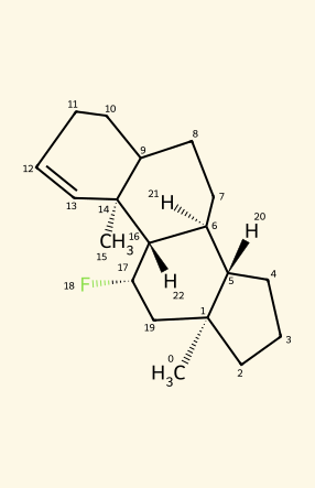 C[C@@]12CCC[C@H]1[C@@H]1CCC3CCC=C[C@]3(C)[C@H]1[C@@H](F)C2